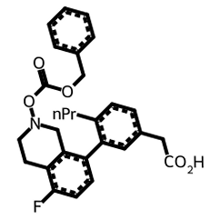 CCCc1ccc(CC(=O)O)cc1-c1ccc(F)c2c1CN(OC(=O)OCc1ccccc1)CC2